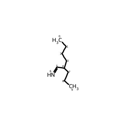 CCCCC(C=N)CCC